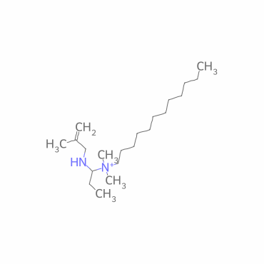 C=C(C)CNC(CC)[N+](C)(C)CCCCCCCCCCCC